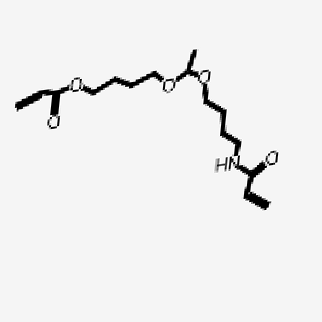 C=CC(=O)NCCCCOC(C)OCCCCOC(=O)C=C